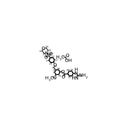 CC(=O)O.COc1cc(COc2ccc(S(=O)(=O)N3CCOCC3)cc2)cc(OC(=O)c2ccc(NC(=N)N)cc2)c1